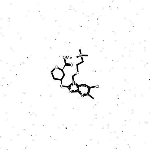 COC(=O)[C@H]1C[C@@H](Oc2nc3nc(I)c(Cl)cc3n2COCC[Si](C)(C)C)CCO1